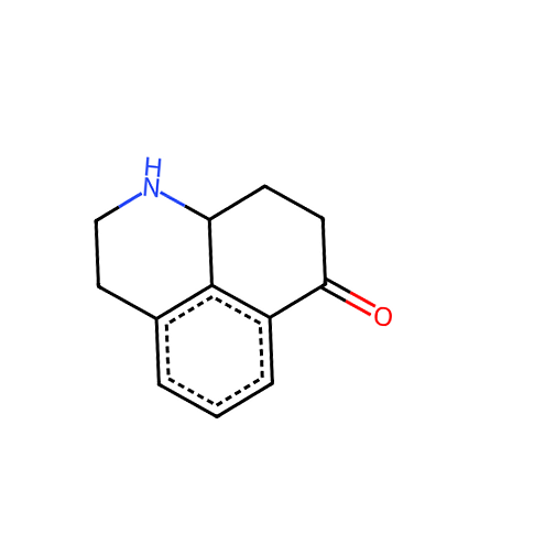 O=C1CCC2NCCc3cccc1c32